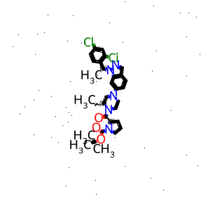 CC[C@@H]1CN(c2ccc3cnn([C@H](C)c4ccc(Cl)cc4Cl)c3c2)CCN1C(=O)[C@H]1CCCN1C(=O)OC(C)(C)C